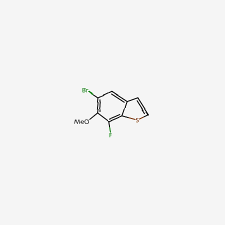 COc1c(Br)cc2ccsc2c1F